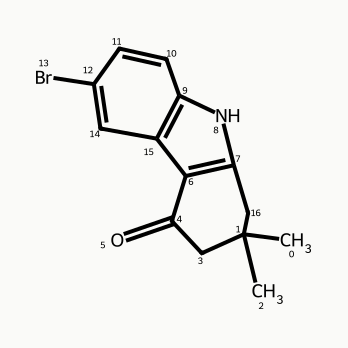 CC1(C)CC(=O)c2c([nH]c3ccc(Br)cc23)C1